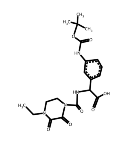 CCN1CCN(C(=O)NC(C(=O)O)c2cccc(NC(=O)OC(C)(C)C)c2)C(=O)C1=O